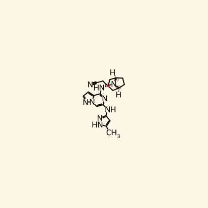 Cc1cc(Nc2cn3nccc3c(N[C@@H]3C[C@H]4CC[C@@H](C3)N4CCC#N)n2)n[nH]1